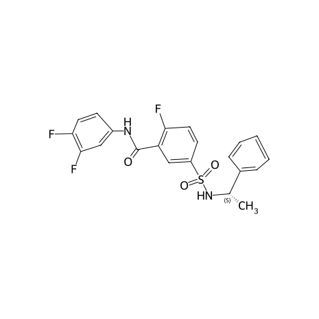 C[C@H](NS(=O)(=O)c1ccc(F)c(C(=O)Nc2ccc(F)c(F)c2)c1)c1ccccc1